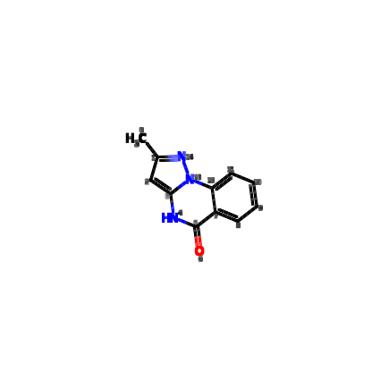 Cc1cc2[nH]c(=O)c3ccccc3n2n1